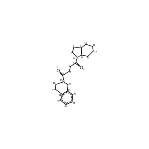 O=C(CCC(=O)N1CCC2CCCCC21)N1CCc2ccccc2C1